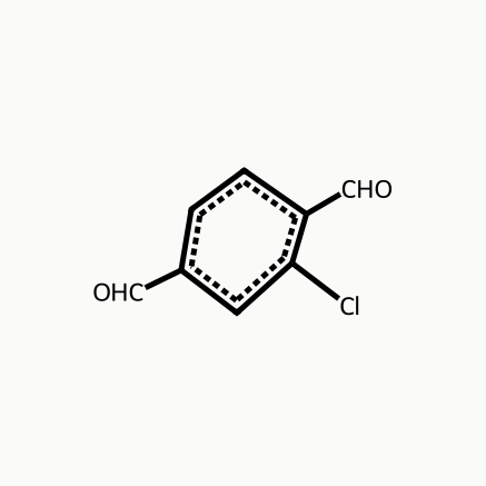 O=Cc1ccc(C=O)c(Cl)c1